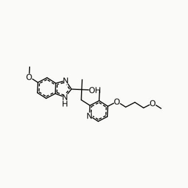 COCCCOc1ccnc(CC(C)(O)c2nc3cc(OC)ccc3[nH]2)c1C